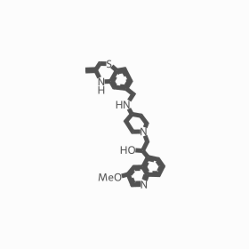 C=C1CSc2ccc(CNC3CCN(CC(O)c4cccc5ncc(OC)cc45)CC3)cc2N1